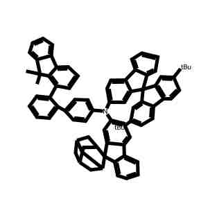 CC(C)(C)c1ccc2c(c1)C1(c3ccccc3-c3ccc(N(c4ccc(-c5ccccc5-c5cccc6c5C(C)(C)c5ccccc5-6)cc4)c4ccc5c(c4)C4(c6ccccc6-5)C5CC6CC(C5)CC4C6)cc31)c1cc(C(C)(C)C)ccc1-2